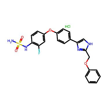 Cl.NS(=O)(=O)Nc1ccc(Oc2ccc(-c3c[nH]c(COc4ccccc4)n3)cc2)cc1F